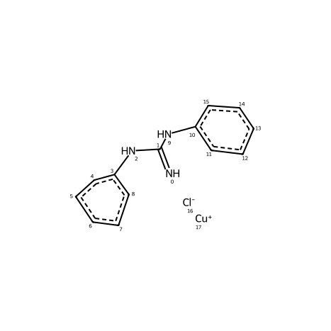 N=C(Nc1ccccc1)Nc1ccccc1.[Cl-].[Cu+]